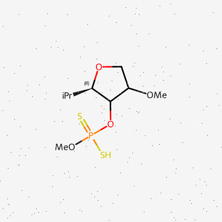 COC1CO[C@H](C(C)C)C1OP(=S)(S)OC